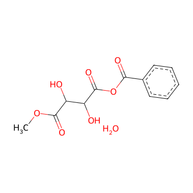 COC(=O)C(O)C(O)C(=O)OC(=O)c1ccccc1.O